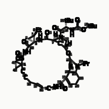 CC[C@@H]1C[C@@]12NC(=O)[C@@H]1C[C@H](CN1C(=O)[C@@H](NC(=O)OC(C)(C)C)C(C)(C)C)Oc1nc3c(n1C(C)C)CCC=C3C(=O)NC/C=C/CCCC1(CC1)S(=O)(=O)NC2=O